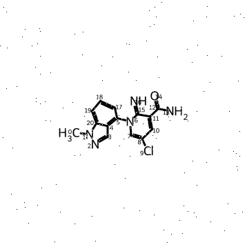 Cn1ncc2c(-n3cc(Cl)cc(C(N)=O)c3=N)cccc21